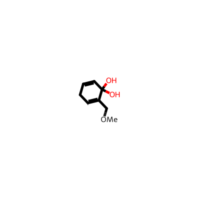 COCC1=[C]CC=CC1(O)O